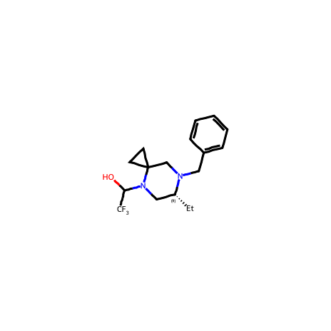 CC[C@@H]1CN(C(O)C(F)(F)F)C2(CC2)CN1Cc1ccccc1